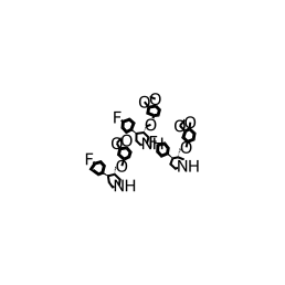 Fc1ccc([C@@H]2CCNC[C@H]2COc2ccc3c(c2)OCO3)cc1.Fc1ccc([C@@H]2CCNC[C@H]2COc2ccc3c(c2)OCO3)cc1.Fc1ccc([C@@H]2CCNC[C@H]2COc2ccc3c(c2)OCO3)cc1